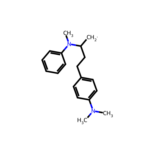 [CH2]C(CCc1ccc(N(C)C)cc1)N(C)c1ccccc1